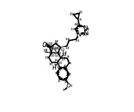 COc1ccc2c(c1)CC[C@H]1[C@@H]3[C@H](CCCn4cc(C5CC5)nn4)CC(=O)[C@@]3(C)CC[C@H]21